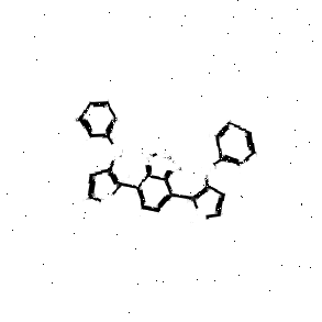 c1ccc(Oc2ccsc2-c2ccc(-c3sccc3Oc3ccccc3)c3nsnc23)cc1